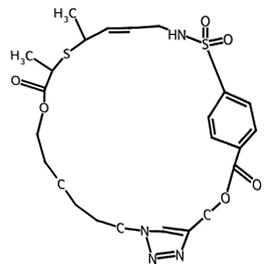 CC1/C=C/CNS(=O)(=O)c2ccc(cc2)C(=O)OCc2cn(nn2)CCCCCCOC(=O)C(C)S1